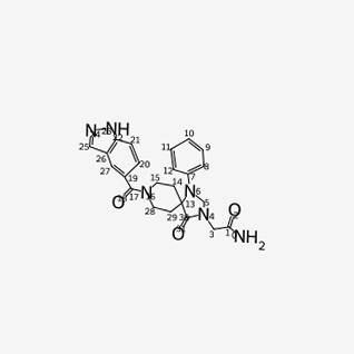 NC(=O)CN1CN(c2ccccc2)C2(CCN(C(=O)c3ccc4[nH]ncc4c3)CC2)C1=O